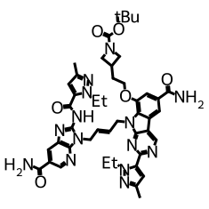 CCn1nc(C)cc1C(=O)Nc1nc2cc(C(N)=O)cnc2n1C/C=C/Cn1c2nc(-c3cc(C)nn3CC)ncc2c2cc(C(N)=O)cc(OCCC3CN(C(=O)OC(C)(C)C)C3)c21